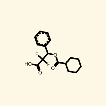 O=C(OC(c1ccccc1)C(F)(F)C(=O)O)C1CCCCC1